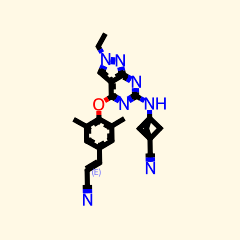 CCn1cc2c(Oc3c(C)cc(/C=C/C#N)cc3C)nc(NC34CC(C#N)(C3)C4)nc2n1